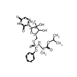 CC(C)OC(=O)[C@H](C)N[P@](=O)(OC[C@H]1O[C@@H](n2ncc(=O)[nH]c2=O)[C@](C)(O)C1O)Oc1ccccc1